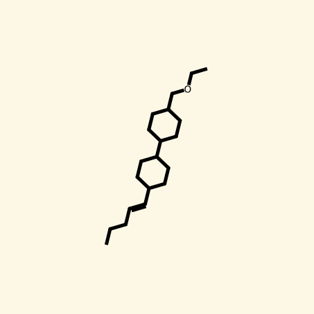 CCC/C=C/C1CCC(C2CCC(COCC)CC2)CC1